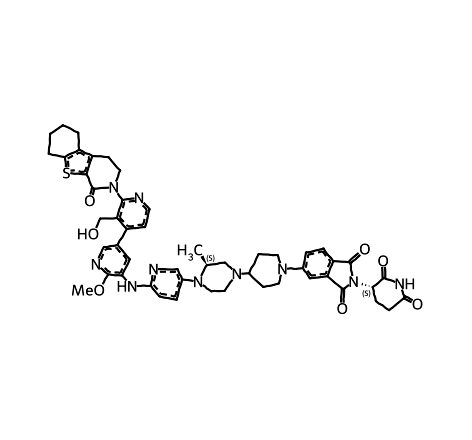 COc1ncc(-c2ccnc(N3CCc4c(sc5c4CCCC5)C3=O)c2CO)cc1Nc1ccc(N2CCN(C3CCN(c4ccc5c(c4)C(=O)N([C@H]4CCC(=O)NC4=O)C5=O)CC3)C[C@@H]2C)cn1